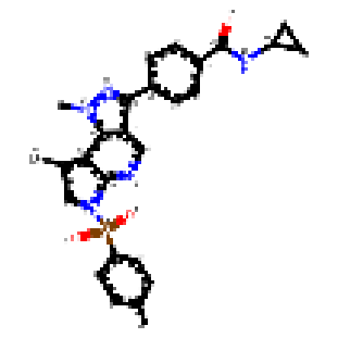 CCc1cn(S(=O)(=O)c2ccc(C)cc2)c2ncc3c(-c4ccc(C(=O)NC5CC5)cc4)nn(C)c3c12